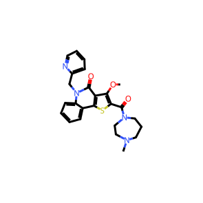 COc1c(C(=O)N2CCCN(C)CC2)sc2c1c(=O)n(Cc1ccccn1)c1ccccc21